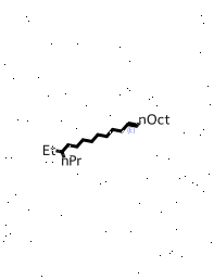 CCCCCCCC/C=C/CCCCCCCCC(CC)CCC